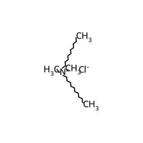 CCCCCCCCCCCC[N+](CC)(CC)CCCCCCCCCCCC.[Cl-]